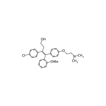 COc1ccccc1C(=C(CCO)c1ccc(Cl)cc1)c1ccc(OCCN(C)C)cc1